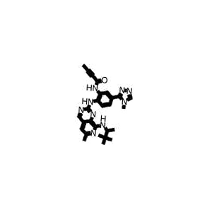 CC#CC(=O)Nc1cc(-c2nncn2C)ccc1Nc1ncc2cc(C)nc(NC(C)C(C)(C)C)c2n1